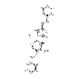 CC(C)[C@@H](NC(=O)C(C)(C)NC(=O)OCc1ccccc1)C(=O)OCc1ccccc1